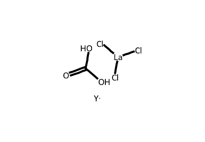 O=C(O)O.[Cl][La]([Cl])[Cl].[Y]